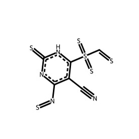 N#Cc1c(N=S)nc(=S)[nH]c1S(=S)(=S)C=S